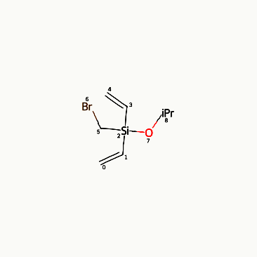 C=C[Si](C=C)(CBr)OC(C)C